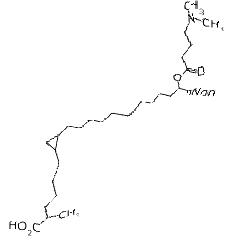 CCCCCCCCCC(CCCCCCCCCCC1CC1CCCCC(C)C(=O)O)OC(=O)CCCN(C)C